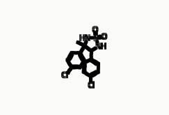 CC1(c2ccc(Cl)cc2)NS(=O)(=O)NC1c1ccc(Cl)cc1